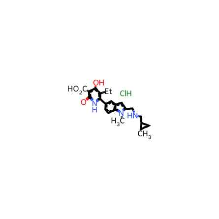 CCc1c(-c2ccc3c(c2)cc(CNCC2CC2C)n3C)[nH]c(=O)c(C(=O)O)c1O.Cl